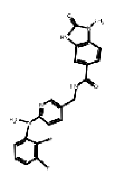 CN(c1ccc(CNC(=O)c2ccc3c(c2)[nH]c(=O)n3C)cn1)c1cccc(F)c1F